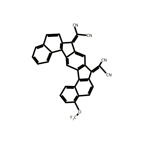 N#CC(C#N)=C1c2cc3c(cc2-c2c1ccc1ccccc21)-c1c(ccc2c(OC(F)(F)F)cccc12)C3=C(C#N)C#N